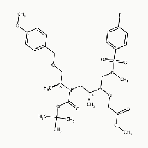 COC(=O)COC(CN(C)S(=O)(=O)c1ccc(F)cc1)[C@H](C)CN(C(=O)OC(C)(C)C)[C@@H](C)COCc1ccc(OC)cc1